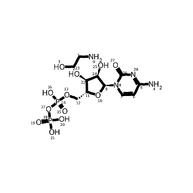 NCCO.Nc1ccn([C@H]2O[C@H](COP(=O)(O)OP(=O)(O)O)[C@@H](O)[C@H]2O)c(=O)n1